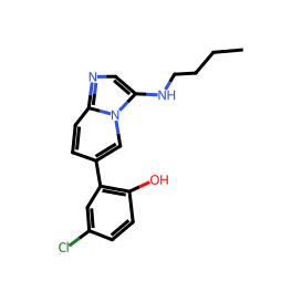 CCCCNc1cnc2ccc(-c3cc(Cl)ccc3O)cn12